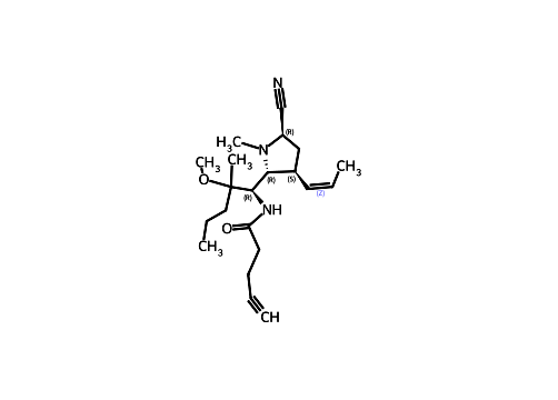 C#CCCC(=O)N[C@H]([C@H]1[C@H](/C=C\C)C[C@H](C#N)N1C)C(C)(CCC)OC